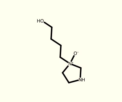 [O-][N+]1(CCCCO)CCNC1